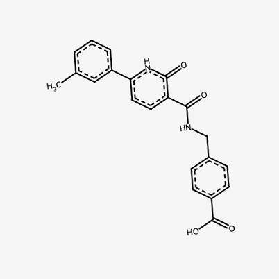 Cc1cccc(-c2ccc(C(=O)NCc3ccc(C(=O)O)cc3)c(=O)[nH]2)c1